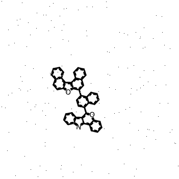 c1ccc2c(c1)ccc1oc3c(-c4ccc(-c5oc6ccccc6c6nc7ccccc7c5-6)c5ccccc45)cc4ccccc4c3c12